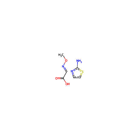 CON=CC(=O)O.Nc1nccs1